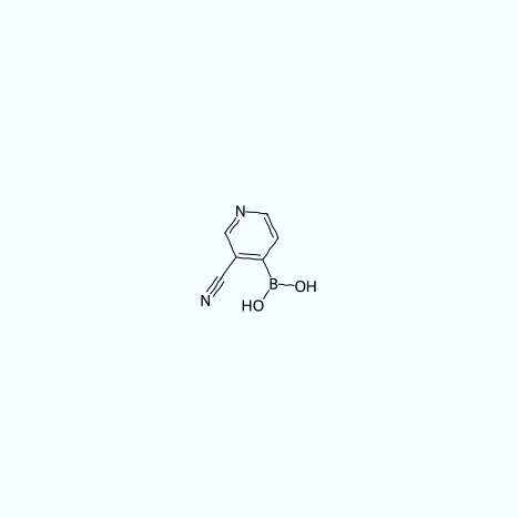 N#Cc1cnccc1B(O)O